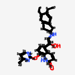 CCc1cc2c(cc1CC)CC(NC[C@@H](O)c1ccc(Oc3nccc(C)n3)c3[nH]c(=O)ccc13)C2